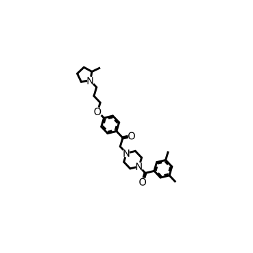 Cc1cc(C)cc(C(=O)N2CCN(CC(=O)c3ccc(OCCCN4CCCC4C)cc3)CC2)c1